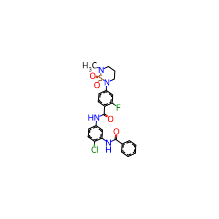 CN1CCCN(c2ccc(C(=O)Nc3ccc(Cl)c(NC(=O)c4ccccc4)c3)c(F)c2)S1(=O)=O